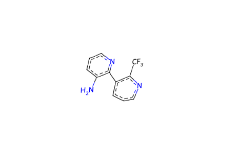 Nc1cccnc1-c1cccnc1C(F)(F)F